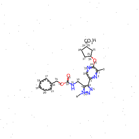 Cc1nc(-c2nnn(C)c2CNC(=O)OCc2ccccc2)cnc1O[C@H]1CC[C@H](C(=O)O)C1